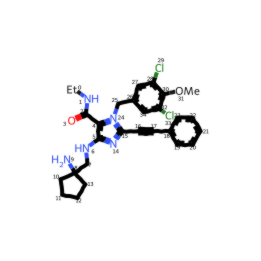 CCNC(=O)c1c(NCC2(N)CCCC2)nc(C#Cc2ccccc2)n1Cc1cc(Cl)c(OC)c(Cl)c1